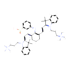 CC1(C)C(/C=C/C2=C(Nc3cccc(S(=O)O)c3)C(=C/C=C3/N(CCC[N+](C)(C)C)c4ccccc4C3(C)C)/CCC2)=[N+](CCC[N+](C)(C)C)c2ccccc21